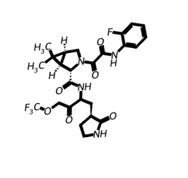 CC1(C)[C@@H]2[C@@H](C(=O)NC(C[C@@H]3CCNC3=O)C(=O)COC(F)(F)F)N(C(=O)C(=O)Nc3ccccc3F)C[C@@H]21